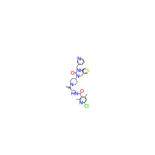 Cc1cc(Cl)nc(C)c1C(=O)NCC[C@@H](C)N1CCC(N(Cc2ccsc2)C(=O)NCc2cccnc2)CC1